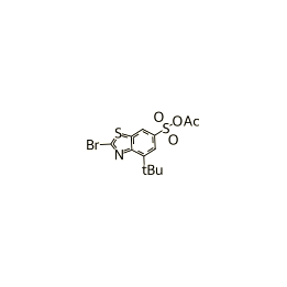 CC(=O)OS(=O)(=O)c1cc(C(C)(C)C)c2nc(Br)sc2c1